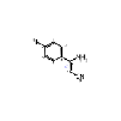 N#C/C=C(\N)c1ccc(I)cc1